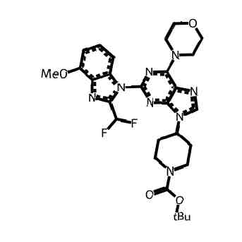 COc1cccc2c1nc(C(F)F)n2-c1nc(N2CCOCC2)c2ncn(C3CCN(C(=O)OC(C)(C)C)CC3)c2n1